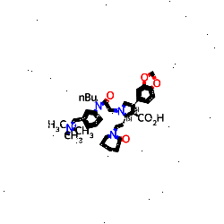 CCCCN(C(=O)CN1C[C@H](c2ccc3c(c2)OCO3)[C@@H](C(=O)O)[C@@H]1CCN1CCCCC1=O)c1cccc(C[N+](C)(C)C)c1